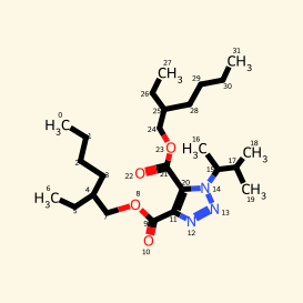 CCCCC(CC)COC(=O)c1nnn(C(C)C(C)C)c1C(=O)OCC(CC)CCCC